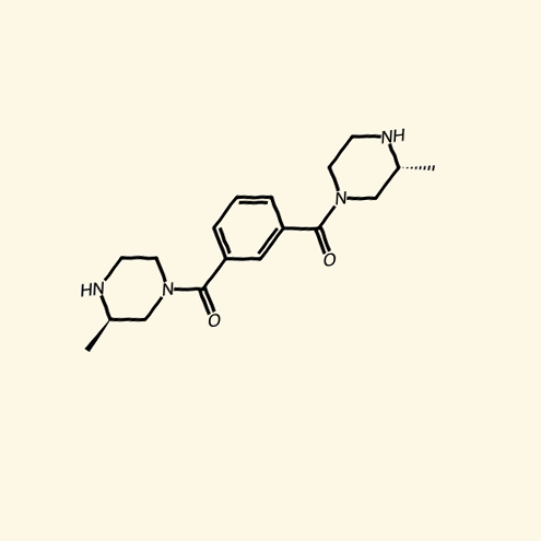 C[C@@H]1CN(C(=O)c2cccc(C(=O)N3CCN[C@H](C)C3)c2)CCN1